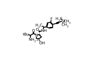 CC(NC(=O)[C@@H]1C[C@@H](O)CN1C(=O)C(N)C(C)(C)C)c1ccc(C#C[Si](C)(C)C)c(F)c1